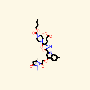 CCCCOC(=O)N1CCN(C(=O)C(CCC(=O)O)NC(=O)c2cc(OCC(=O)N3NC(=O)C[C@@H]3C)c3ccc(C)cc3n2)CC1